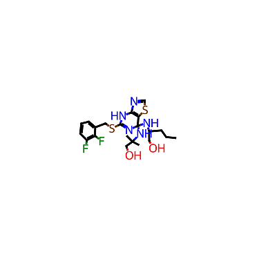 CCCC(CO)NC1(NC(C)(C)CO)N=C(SCc2cccc(F)c2F)Nc2ncsc21